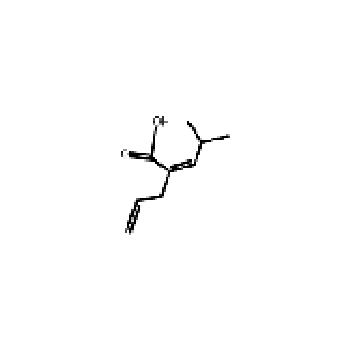 C=CCC(=CC(C)C)C(=O)O